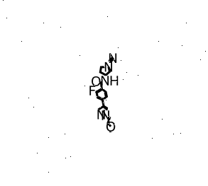 COCCn1cc(-c2ccc(C(=O)NC3CCN(C#N)C3)c(F)c2)cn1